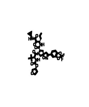 CCC[C@H](NC(=O)[C@@H]1C[C@]2(CC(c3ccc4c(c3)OC(F)(F)O4)=NO2)CN1C(=O)[C@@H](NC(=O)O[C@H]1CCOC1)C(C)(C)C)C(=O)C(=O)NC1CC1